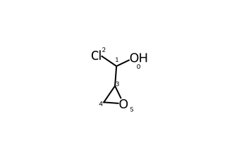 OC(Cl)C1CO1